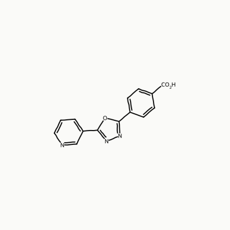 O=C(O)c1ccc(-c2nnc(-c3cccnc3)o2)cc1